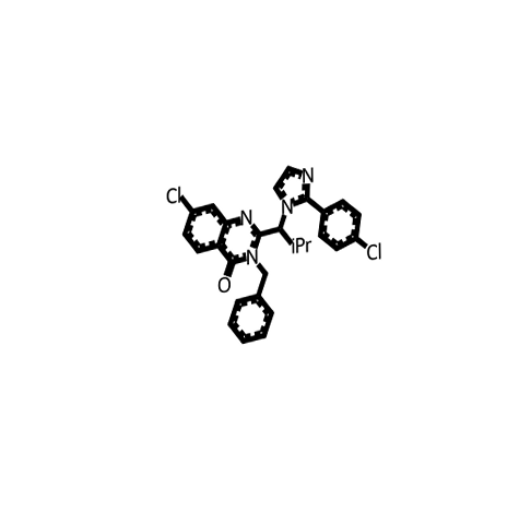 CC(C)C(c1nc2cc(Cl)ccc2c(=O)n1Cc1ccccc1)n1ccnc1-c1ccc(Cl)cc1